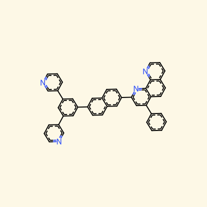 c1ccc(-c2cc(-c3ccc4cc(-c5cc(-c6cccnc6)cc(-c6cccnc6)c5)ccc4c3)nc3c2ccc2cccnc23)cc1